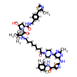 Cc1nc(Nc2ncc(C(=O)Nc3c(C)cccc3Cl)s2)cc(N2CCN(C(=O)CCCCCCCN[C@H](C(=O)N3C[C@H](O)C[C@H]3C(=O)NCc3ccc(-c4scnc4C)cc3)C(C)(C)C)CC2)n1